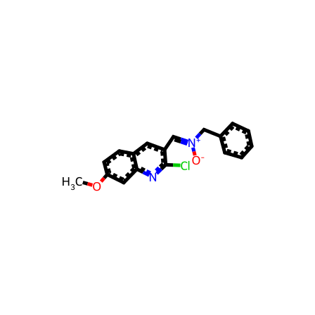 COc1ccc2cc(/C=[N+](\[O-])Cc3ccccc3)c(Cl)nc2c1